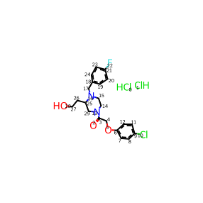 Cl.Cl.O=C(COc1ccc(Cl)cc1)N1CCN(Cc2ccc(F)cc2)C(CCO)C1